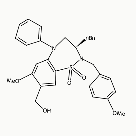 CCCC[C@@H]1CN(c2ccccc2)c2cc(OC)c(CO)cc2S(=O)(=O)N1Cc1ccc(OC)cc1